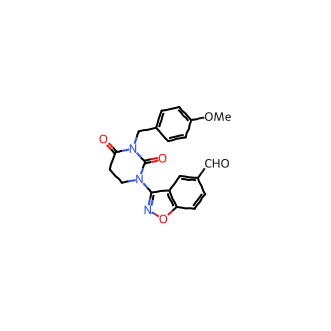 COc1ccc(CN2C(=O)CCN(c3noc4ccc(C=O)cc34)C2=O)cc1